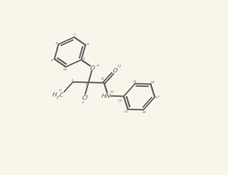 CCC(Cl)(Oc1ccccc1)C(=O)Nc1ccccc1